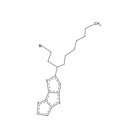 CCCCCCCC(CCBr)c1cc2sc3ccsc3c2s1